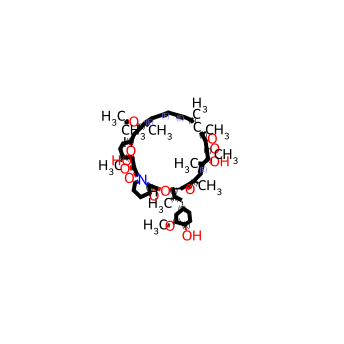 CO[C@@H]1C[C@H](C[C@@H](C)[C@@H]2CC(=O)[C@H](C)/C=C(\C)[C@@H](O)[C@@H](OC)C(=O)[C@H](C)C[C@H](C)/C=C/C=C/C=C(\C)[C@H](OC(C)C)C[C@@H]3CC[C@@H](C)[C@@](O)(O3)C(=O)C(=O)N3CCCC[C@H]3C(=O)O2)CC[C@H]1O